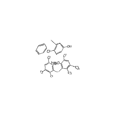 Cc1cc(O)ccc1Cl.Oc1c(Cl)cc(Cl)c(Cl)c1Cc1c(O)c(Cl)cc(Cl)c1Cl.c1ccccc1